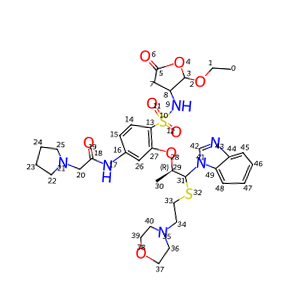 CCOC1OC(=O)CC1NS(=O)(=O)c1ccc(NC(=O)CN2CCCC2)cc1O[C@H](C)C(SCCN1CCOCC1)n1cnc2ccccc21